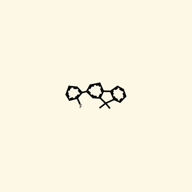 CC1(C)c2ccccc2-c2ccc(-c3ccccc3F)cc21